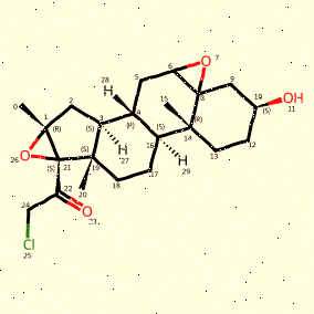 C[C@@]12C[C@H]3[C@@H]4CC5OC56C[C@@H](O)CC[C@]6(C)[C@H]4CC[C@]3(C)[C@]1(C(=O)CCl)O2